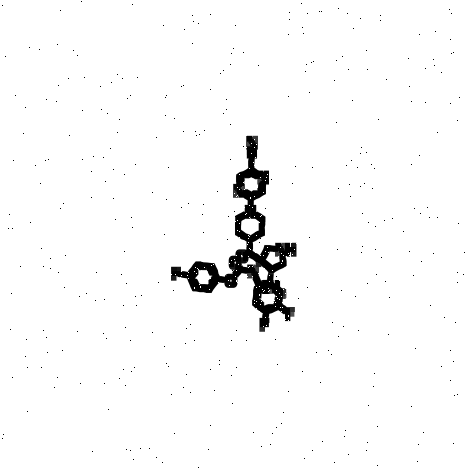 CCN(C(=O)Oc1ccc(F)cc1)[C@]1(C(=O)C2CCN(c3cnc(C#N)cn3)CC2)CNC[C@H]1c1ccc(F)c(F)c1